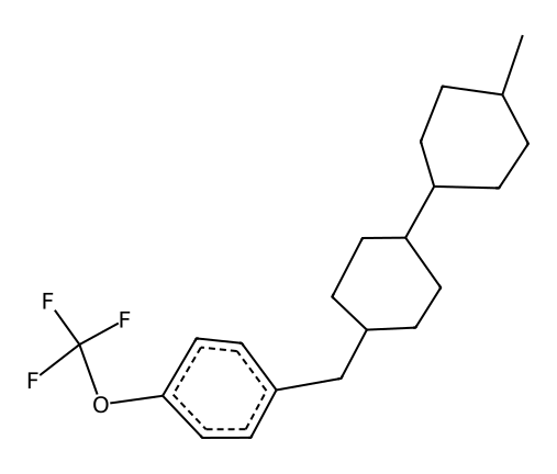 CC1CCC(C2CCC(Cc3ccc(OC(F)(F)F)cc3)CC2)CC1